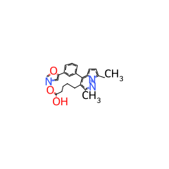 CCc1ccc2c(-c3cccc(-c4cnco4)c3)c(CCCCC(=O)O)c(C)nn12